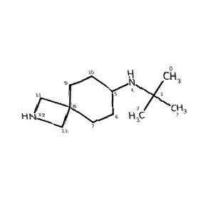 CC(C)(C)NC1CCC2(CC1)CNC2